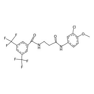 COc1ccc(NC(=O)CCNC(=O)c2cc(C(F)(F)F)cc(C(F)(F)F)c2)cc1Cl